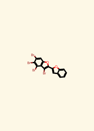 Brc1cc2oc(-c3cc4ccccc4o3)c(Br)c2c(Br)c1Br